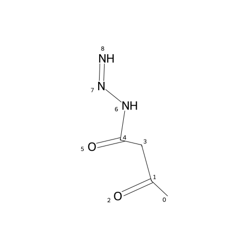 CC(=O)CC(=O)NN=N